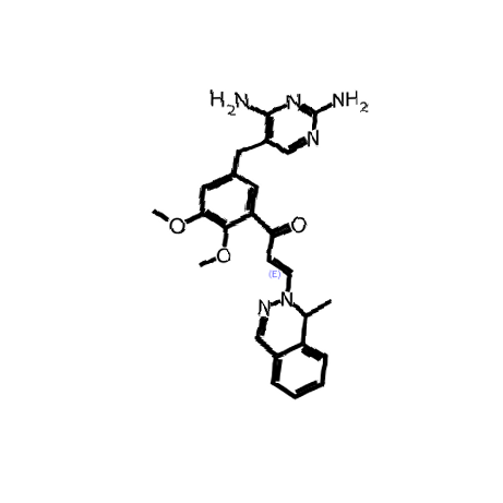 COc1cc(Cc2cnc(N)nc2N)cc(C(=O)/C=C/N2N=Cc3ccccc3C2C)c1OC